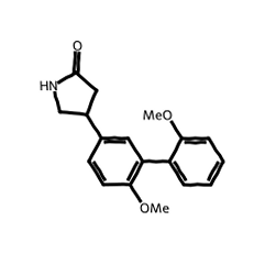 COc1ccccc1-c1cc(C2CNC(=O)C2)ccc1OC